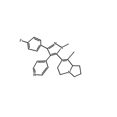 CC1=C(c2c(-c3ccncc3)c(-c3ccc(F)cc3)nn2C)CCN2CCCC12